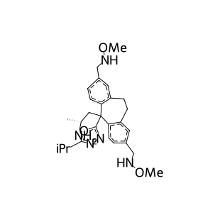 CONCc1ccc2c(c1)CCc1cc(CNOC)ccc1C2(C[C@@H](C)N)c1nnc(C(C)C)o1